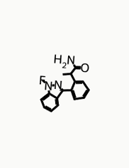 CC(C(N)=O)c1ccccc1-c1nn(F)c2ccccc12